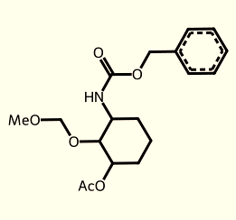 COCOC1C(NC(=O)OCc2ccccc2)CCCC1OC(C)=O